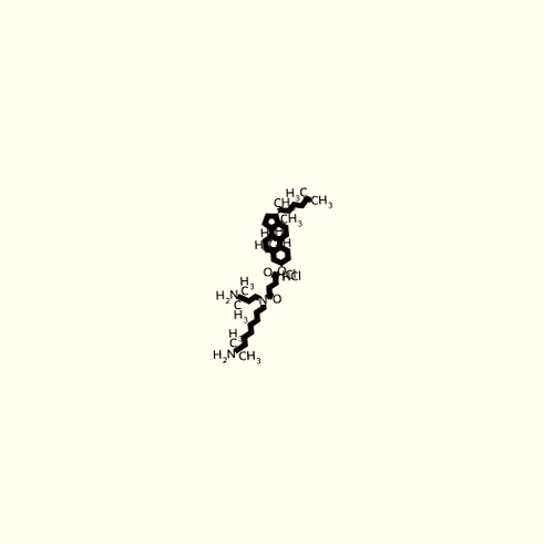 CC(C)CCCC(C)[C@H]1CC[C@H]2[C@@H]3CC=C4C[C@@H](OC(=O)CCC(=O)N(CCCCCCCC(C)(C)N)CCC(C)(C)N)CC[C@]4(C)[C@H]3CC[C@]12C.Cl.Cl